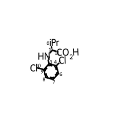 CC(C)[C@H](Nc1c(Cl)cccc1Cl)C(=O)O